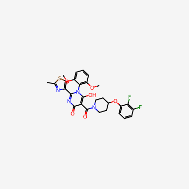 COc1cccc(OC)c1-n1c(-c2csc(C)n2)nc(=O)c(C(=O)N2CCC(Oc3cccc(F)c3F)CC2)c1O